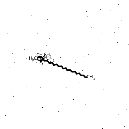 CCCCCCCCCCCCCCCCCCCCC(CC(C)(C)C)(C(N)=O)N(C)C